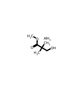 COC(=O)C(C)(C)CO.[AlH3]